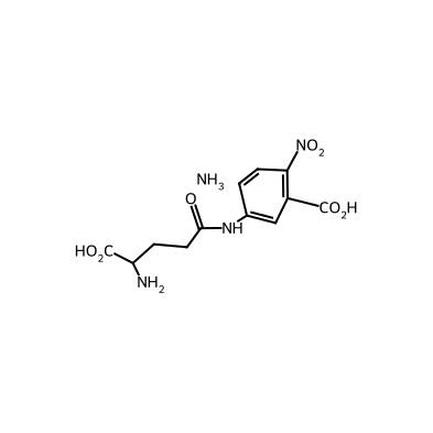 N.NC(CCC(=O)Nc1ccc([N+](=O)[O-])c(C(=O)O)c1)C(=O)O